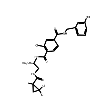 CC1(C(=O)NC[C@H](NC(=O)c2ccc(C(=O)NCc3cccc(O)c3)cc2Cl)C(=O)O)CC1(Cl)Cl